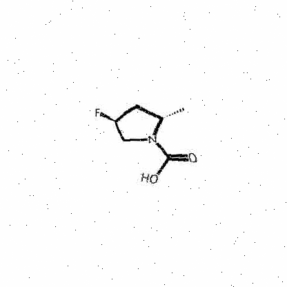 C[C@H]1C[C@H](F)CN1C(=O)O